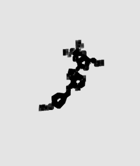 COc1ccc(CSc2ncnc3c2ncn3[C@@H]2O[C@H](CO)C3OC(C)(C)OC32)cc1